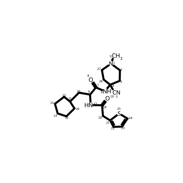 CN1CCC(C#N)(NC(=O)C(CC2CCCCC2)NC(=O)Cc2cccs2)CC1